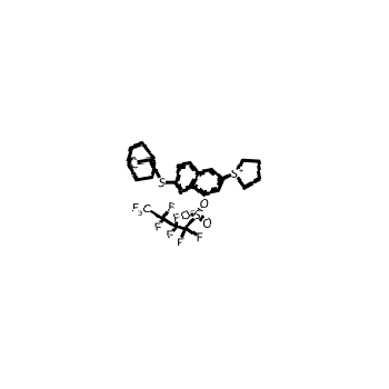 O=S(=O)([O-])C(F)(F)C(F)(F)C(F)(F)C(F)(F)F.c1cc2cc([S+]3CCCC3)ccc2cc1SC1CC2CCC1CC2